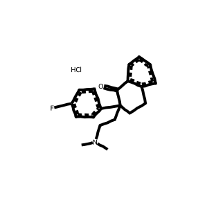 CN(C)CCC1(c2ccc(F)cc2)CCc2ccccc2C1=O.Cl